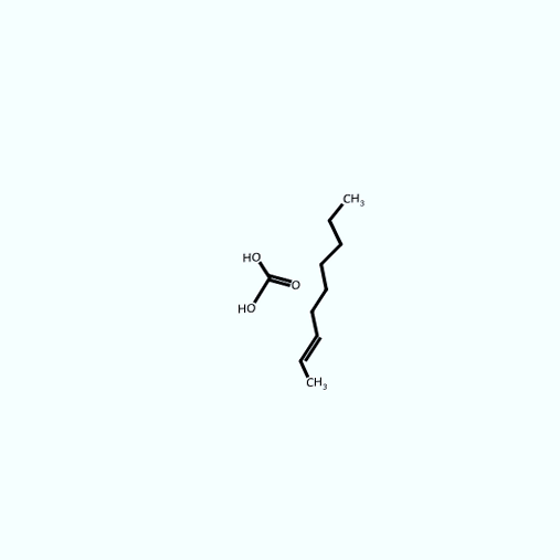 CC=CCCCCCC.O=C(O)O